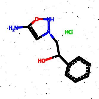 Cl.NC1=CN(CC(O)c2ccccc2)NO1